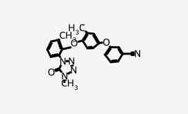 Cc1cc(Oc2cccc(C#N)c2)ccc1OCc1c(C)cccc1-n1nnn(C)c1=O